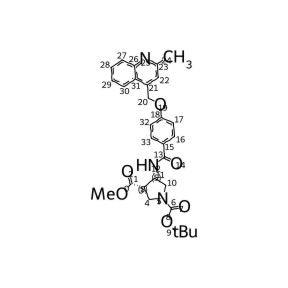 COC(=O)[C@H]1CN(C(=O)OC(C)(C)C)C[C@H]1NC(=O)c1ccc(OCc2cc(C)nc3ccccc23)cc1